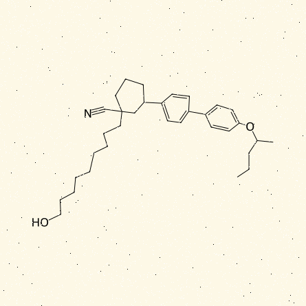 CCCC(C)Oc1ccc(-c2ccc(C3CCCC(C#N)(CCCCCCCCCO)C3)cc2)cc1